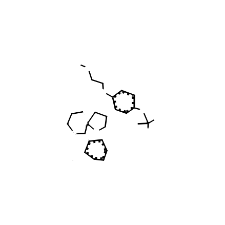 COCCOc1ccc(OC(F)(F)F)cc1[C@@H]1CO[C@]2(CCCN[C@H]2c2ccccc2)C1.Cl